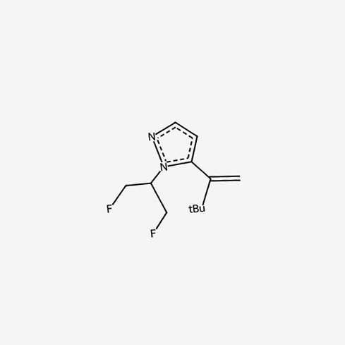 C=C(c1ccnn1C(CF)CF)C(C)(C)C